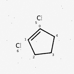 C1=CCCC1.[C].[C]